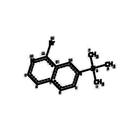 C[Si](C)(C)c1ccc2ccnc(Br)c2c1